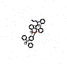 C=C/C=c1\c2n(c3ccccc13)-c1ccccc1C1(C=2C)c2ccccc2C(C)(C)c2c(-c3ccc(P(=O)(c4ccccc4)c4ccccc4)cc3)cccc21